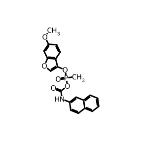 COc1ccc2c(OP(C)(=O)OC(=O)Nc3ccc4ccccc4c3)coc2c1